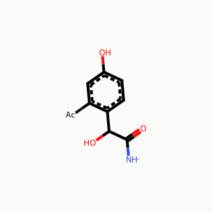 CC(=O)c1cc(O)ccc1C(O)C([NH])=O